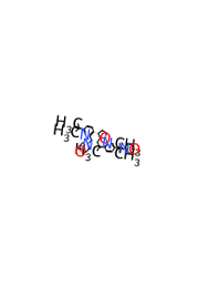 CC(C)c1ccc([C@@H]2CCOC2CC(C)c2ccc(C(C)(C)N3CCOCC3)cn2)c(CN2CCOCC2)n1